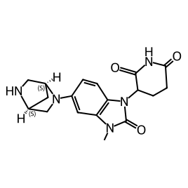 Cn1c(=O)n(C2CCC(=O)NC2=O)c2ccc(N3C[C@@H]4C[C@H]3CN4)cc21